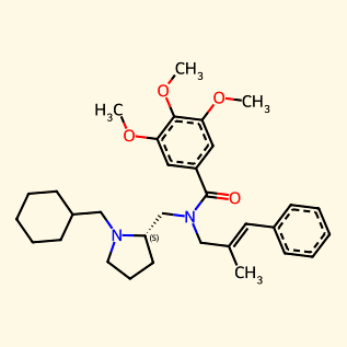 COc1cc(C(=O)N(CC(C)=Cc2ccccc2)C[C@@H]2CCCN2CC2CCCCC2)cc(OC)c1OC